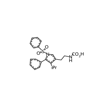 CC(C)c1c(CCNC(=O)O)cn(S(=O)(=O)c2ccccc2)c1-c1ccccc1